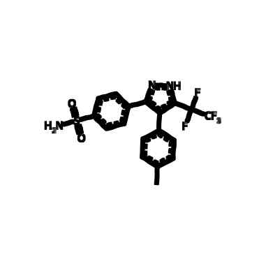 Cc1ccc(-c2c(-c3ccc(S(N)(=O)=O)cc3)n[nH]c2C(F)(F)C(F)(F)F)cc1